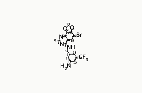 Cc1nc(NCc2cc(N)cc(C(F)(F)F)c2)c2cc(Br)c3c(c2n1)OCO3